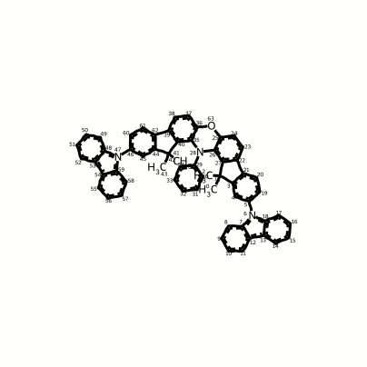 CC1(C)c2cc(-n3c4ccccc4c4ccccc43)ccc2-c2ccc3c(c21)N(c1ccccc1)c1c(ccc2c1C(C)(C)c1cc(-n4c5ccccc5c5ccccc54)ccc1-2)O3